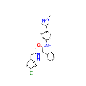 C[C@@H](Cc1ccc(Cl)cc1)N[C@H](C(=O)Nc1ccc(-c2cnn(C)c2)cc1)c1ccccc1